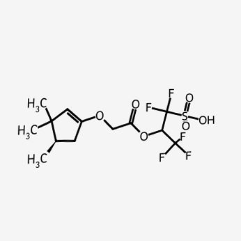 C[C@@H]1CC(OCC(=O)OC(C(F)(F)F)C(F)(F)S(=O)(=O)O)=CC1(C)C